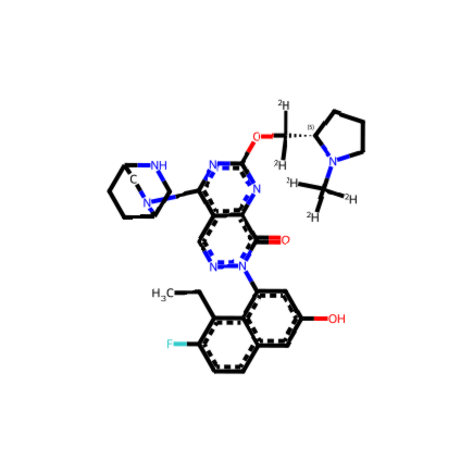 [2H]C([2H])(Oc1nc(N2CC3CCC2CN3)c2cnn(-c3cc(O)cc4ccc(F)c(CC)c34)c(=O)c2n1)[C@@H]1CCCN1C([2H])([2H])[2H]